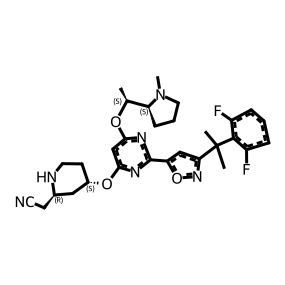 C[C@H](Oc1cc(O[C@H]2CCN[C@H](CC#N)C2)nc(-c2cc(C(C)(C)c3c(F)cccc3F)no2)n1)[C@@H]1CCCN1C